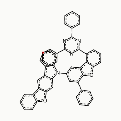 c1ccc(-c2nc(-c3ccccc3)nc(-c3cccc4oc5c(-c6ccccc6)cc(-n6c7ccccc7c7cc8c(cc76)oc6ccccc68)cc5c34)n2)cc1